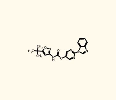 CC(C)(C)c1cc(NC(=O)Oc2cnc(-n3cnc4ccccc43)nc2)no1